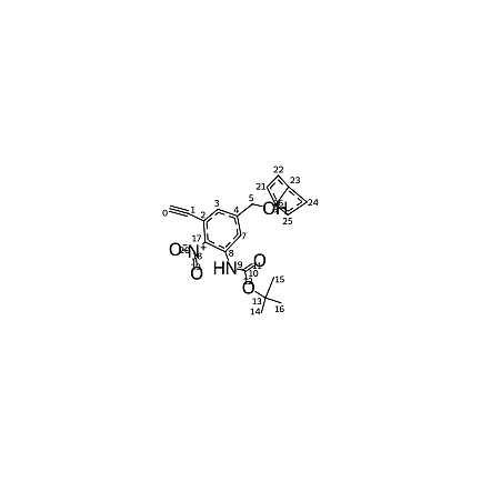 C#Cc1cc(CO)cc(NC(=O)OC(C)(C)C)c1[N+](=O)[O-].c1cc2ccc1-2